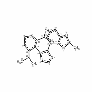 Cc1nc2c(-c3nccn3-c3c(C(C)C)cccc3C(C)C)cccc2o1